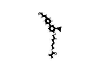 C=C(C)C(=O)OCCCCCCOc1ccc(-c2ccc(/C=C/C=O)cc2)cc1C1CC1